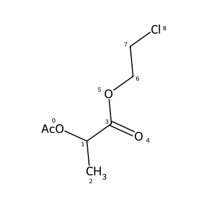 CC(=O)OC(C)C(=O)OCCCl